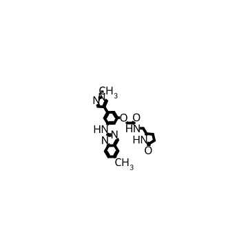 Cc1ccc2nc(Nc3cc(OCC(=O)NCC4CCC(=O)N4)cc(-c4cnn(C)c4)c3)ncc2c1